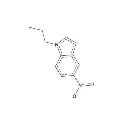 O=[N+]([O-])c1ccc2c(ccn2CCF)c1